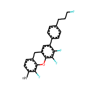 CCCc1ccc2c(c1F)Oc1c(cc(-c3ccc(CCCF)cc3)c(F)c1F)C2